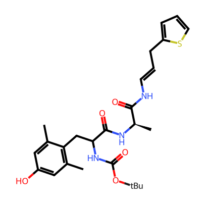 Cc1cc(O)cc(C)c1CC(NC(=O)OC(C)(C)C)C(=O)N[C@H](C)C(=O)NC=CCc1cccs1